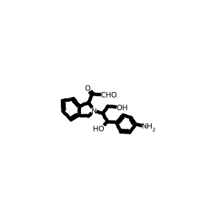 Nc1ccc(C(O)C(CO)N2Cc3ccccc3C2C(=O)C=O)cc1